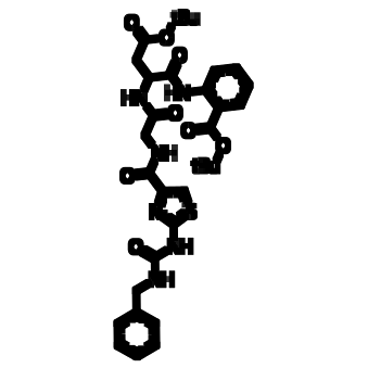 CC(C)(C)OC(=O)CC(NC(=O)CNC(=O)c1csc(NC(=O)NCc2ccccc2)n1)C(=O)Nc1ccccc1C(=O)OC(C)(C)C